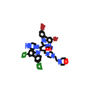 NC(Cn1c2ccc(Br)cc2c2cc(Br)ccc21)C(C(C(O)CN1CCN(CCN2CCOCC2)CC1)n1c2ccc(Cl)cc2c2cc(Cl)ccc21)N1CCNCC1